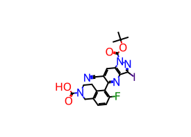 CC(C)(C)OC(=O)n1nc(I)c2nc(-c3c(F)ccc4c3CCN(C(=O)O)C4)c(C#N)cc21